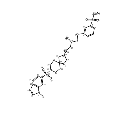 CNS(=O)(=O)c1cccc(OCC(O)CN[C@H]2COC3(CCN(S(=O)(=O)c4cnc5ncn(C)c5c4)CC3)C2)c1